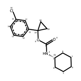 O=C(N[C@H]1[CH]CCCC1)OC1(c2cccc(Cl)c2)CC1